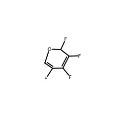 FC1=COC(F)C(F)=C1F